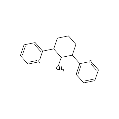 CC1C(c2ccccn2)CCCC1c1ccccn1